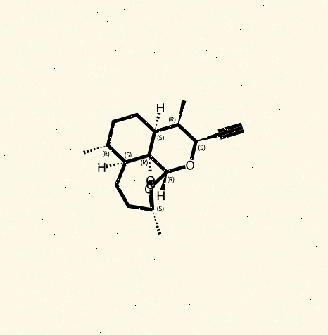 C#C[C@H]1O[C@@H]2O[C@]3(C)CC[C@H]4[C@H](C)CC[C@@H]([C@H]1C)[C@@]24OO3